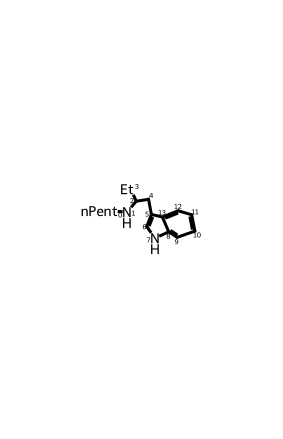 CCCCCNC(CC)Cc1c[nH]c2ccccc12